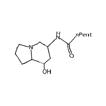 CCCCCC(=O)NC1CC(O)C2CCCN2C1